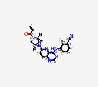 C=CC(=O)N1C[C@@H]2C[C@H]1CN2c1ccc2ncnc(Nc3cccc(C#N)c3F)c2n1